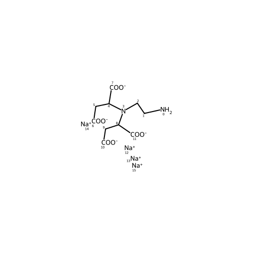 NCCN(C(CC(=O)[O-])C(=O)[O-])C(CC(=O)[O-])C(=O)[O-].[Na+].[Na+].[Na+].[Na+]